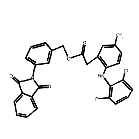 Cc1ccc(Nc2c(F)cccc2Cl)c(CC(=O)OCc2cccc(N3C(=O)c4ccccc4C3=O)c2)c1